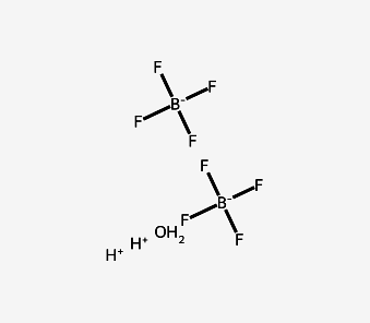 F[B-](F)(F)F.F[B-](F)(F)F.O.[H+].[H+]